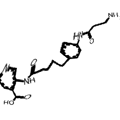 NCCC(=O)Nc1ccc(CCCC(=O)Nc2cnccc2C(=O)O)cc1